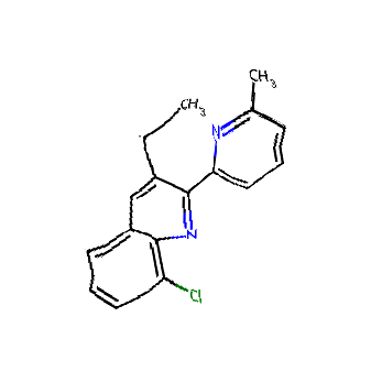 C[CH]c1cc2cccc(Cl)c2nc1-c1cccc(C)n1